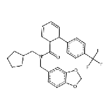 O=C(C1C=CC=CC1c1ccc(C(F)(F)F)cc1)N(Cc1ccc2c(c1)OCO2)CC1CCCC1